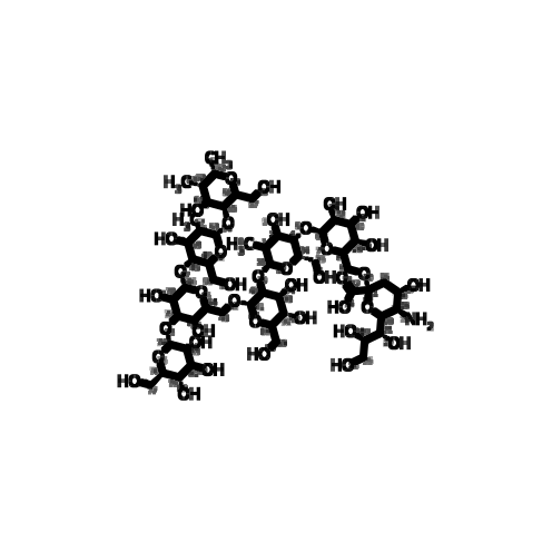 CC1C(O)[C@H](O[C@@H]2OC(CO[C@]3(C(=O)O)C[C@@H](O)[C@@H](N)C([C@H](O)[C@H](O)CO)O3)[C@H](O)C(O)[C@@H]2O)[C@H](CO)O[C@H]1OC1[C@@H](OCC2O[C@@H](O[C@@H]3C(CO)O[C@@H](O[C@@H]4C(CO)O[C@@H](C)[C@@H](C)C4O)[C@@H](C)C3O)C(O)C(O[C@H]3O[C@H](CO)[C@@H](O)C(O)C3O)[C@@H]2O)OC(CO)[C@@H](O)[C@@H]1O